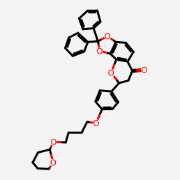 O=C1CC(c2ccc(OCCCCOC3CCCCO3)cc2)Oc2c1ccc1c2OC(c2ccccc2)(c2ccccc2)O1